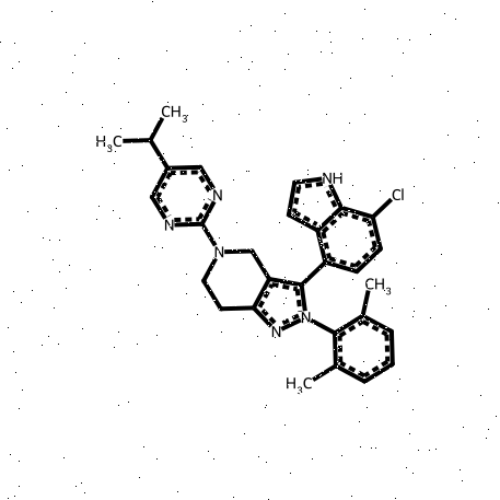 Cc1cccc(C)c1-n1nc2c(c1-c1ccc(Cl)c3[nH]ccc13)CN(c1ncc(C(C)C)cn1)CC2